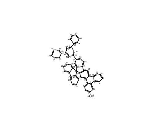 Oc1ccc2c(c1)c1ccccc1c1cc3c(cc21)C1(c2ccccc2-c2ccccc21)c1cc(-c2nc(-c4ccccc4)nc(-c4ccccc4)n2)ccc1-3